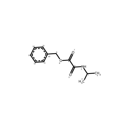 CC(C)NC(=O)C(=O)OCc1ccccc1